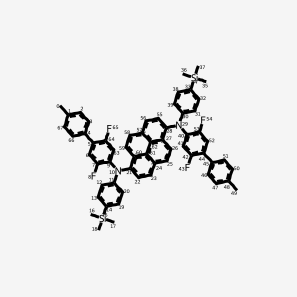 Cc1ccc(-c2cc(F)c(N(c3ccc([Si](C)(C)C)cc3)c3ccc4ccc5c(N(c6ccc([Si](C)(C)C)cc6)c6cc(F)c(-c7ccc(C)cc7)cc6F)ccc6ccc3c4c65)cc2F)cc1